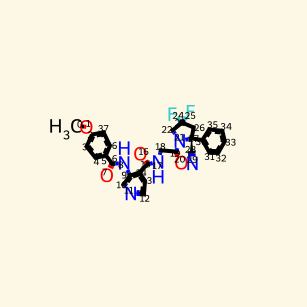 COc1ccc(C(=O)Nc2cnccc2C(=O)NCC(=O)N2CC(F)(F)C[C@]2(C#N)c2ccccc2)cc1